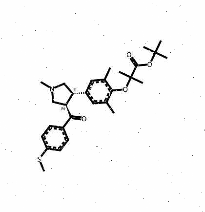 CSc1ccc(C(=O)[C@H]2CN(C)C[C@@H]2c2cc(C)c(OC(C)(C)C(=O)OC(C)(C)C)c(C)c2)cc1